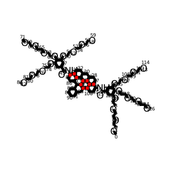 COCCOCCOCCOc1cc(C(=O)Nc2ccc(C3=C(c4c5ccccc5cc5ccc(C)cc45)C4(c5ccc(NC(=O)c6cc(OCCOCCOCCOC)c(OCCOCCOCCOC)c(OCCOCCOCCOC)c6)cc5)c5ccccc5C3c3ccccc34)cc2)cc(OCCOCCOCCOC)c1OCCOCCOCCOC